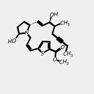 CCC#CCC(C)[C@H](O)/C=C/[C@H]1CCC(O)N1C/C=C\c1ccc(C(=O)OC)s1